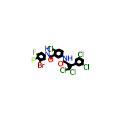 O=C(Nc1cc(F)c(F)c(Br)c1)c1cc(NC(=O)C2C(c3cc(Cl)cc(Cl)c3)C2(Cl)Cl)ccc1Cl